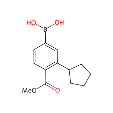 COC(=O)c1ccc(B(O)O)cc1C1CCCC1